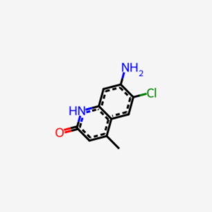 Cc1cc(=O)[nH]c2cc(N)c(Cl)cc12